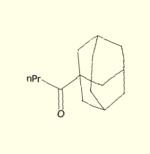 CCCC(=O)C12CC3CC(CC(C3)C1)C2